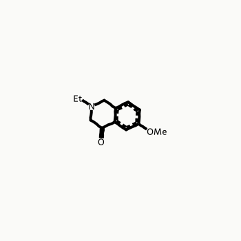 CCN1CC(=O)c2cc(OC)ccc2C1